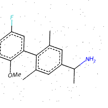 COc1ccc(F)cc1-c1c(C)cc(C(C)N)cc1C